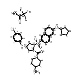 NC1CCN(C(=O)[C@@H]2C[C@H](Oc3ccc(Cl)cc3)CN2S(=O)(=O)c2ccc3cc(OC4CCCC4)ccc3c2)CC1.O=C(O)C(F)(F)F